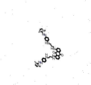 Cn1cc[n+](C)c1/N=N/c1ccc(NCCCNc2cccc3c2C(=O)c2c(NCCCNc4ccc(/N=N/c5n(C)cc[n+]5C)cc4)cccc2C3=O)cc1